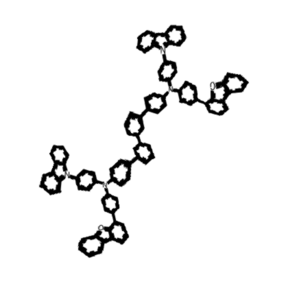 c1cc(-c2ccc(N(c3ccc(-c4cccc5c4oc4ccccc45)cc3)c3ccc(-n4c5ccccc5c5ccccc54)cc3)cc2)cc(-c2cccc(-c3ccc(N(c4ccc(-c5cccc6c5oc5ccccc56)cc4)c4ccc(-n5c6ccccc6c6ccccc65)cc4)cc3)c2)c1